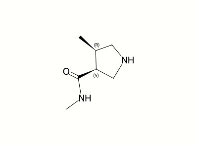 CNC(=O)[C@@H]1CNC[C@@H]1C